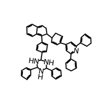 C1=CCCC(c2cc(C3=CCC(C4CC=c5ccccc5=C4c4ccc(C5NC(c6ccccc6)NC(c6ccccc6)N5)cc4)C=C3)cc(C3=CCCC=C3)n2)=C1